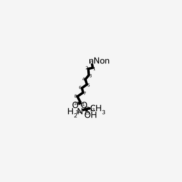 CCCCCCCCCCCCCCCCCC(=O)OC(C)(N)O